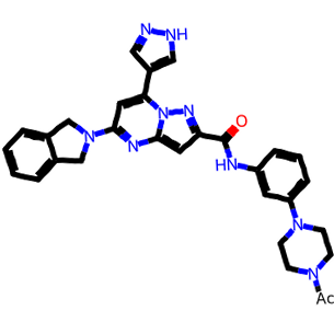 CC(=O)N1CCN(c2cccc(NC(=O)c3cc4nc(N5Cc6ccccc6C5)cc(-c5cn[nH]c5)n4n3)c2)CC1